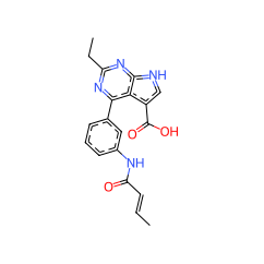 C/C=C/C(=O)Nc1cccc(-c2nc(CC)nc3[nH]cc(C(=O)O)c23)c1